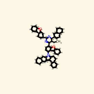 CCC1C(c2ccc(-n3c4cc5ccccc5cc4c4c5ccccc5ccc43)c3c2oc2ccccc23)=NC(c2ccc3c(c2)oc2ccccc23)=NC1c1ccc2ccccc2c1